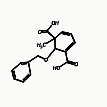 CC1(C(=O)O)C=CC=C(C(=O)O)C1OCc1ccccc1